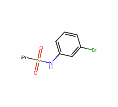 CC(C)S(=O)(=O)Nc1cccc(Br)c1